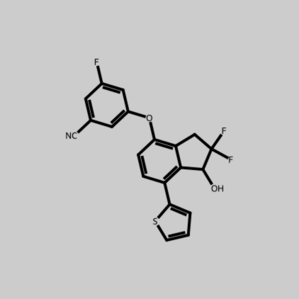 N#Cc1cc(F)cc(Oc2ccc(-c3cccs3)c3c2CC(F)(F)C3O)c1